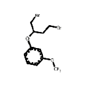 FC(F)(F)Oc1cccc(OC(CBr)CCBr)c1